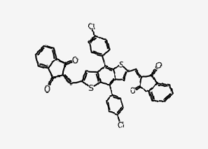 O=C1C(=Cc2cc3c(-c4ccc(Cl)cc4)c4sc(C=C5C(=O)c6ccccc6C5=O)cc4c(-c4ccc(Cl)cc4)c3s2)C(=O)c2ccccc21